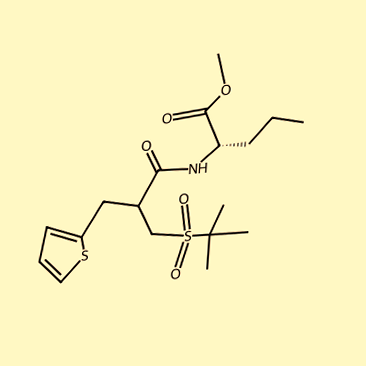 CCC[C@H](NC(=O)C(Cc1cccs1)CS(=O)(=O)C(C)(C)C)C(=O)OC